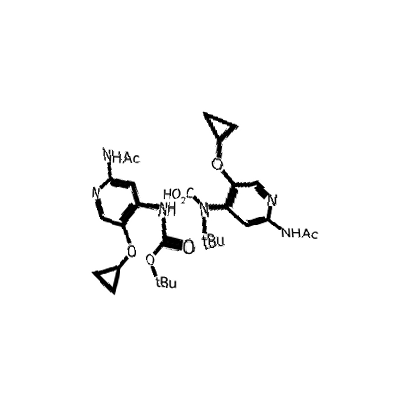 CC(=O)Nc1cc(N(C(=O)O)C(C)(C)C)c(OC2CC2)cn1.CC(=O)Nc1cc(NC(=O)OC(C)(C)C)c(OC2CC2)cn1